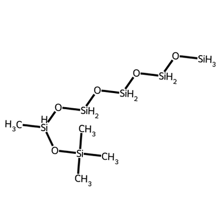 C[SiH](O[SiH2]O[SiH2]O[SiH2]O[SiH3])O[Si](C)(C)C